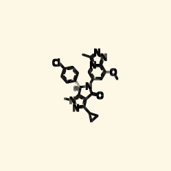 COc1cc(N2C(=O)c3c(C4CC4)nn(C)c3[C@@H]2c2ccc(Cl)cc2)cn2c(C)nnc12